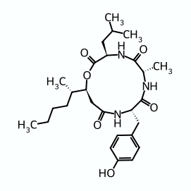 CCCC[C@H](C)[C@@H]1CC(=O)N[C@@H](Cc2ccc(O)cc2)C(=O)N[C@@H](C)C(=O)N[C@H](CC(C)C)C(=O)O1